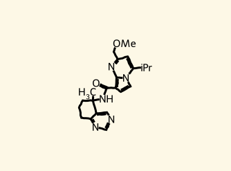 COCc1cc(C(C)C)n2ccc(C(=O)NC3(C)CCCc4ncncc43)c2n1